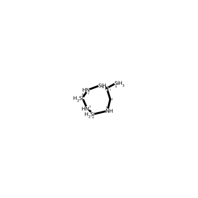 [SiH3]N1CN[SiH2]N[SiH2]N[SiH2]1